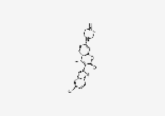 Cc1c(-c2cn3cc(Cl)ccc3n2)c(=O)oc2cc(N3CCNCC3)ccc12